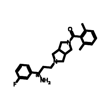 Cc1cccc(C)c1C(=O)N1CC2CN(CC[C@H](N)c3cccc(F)c3)CC2C1